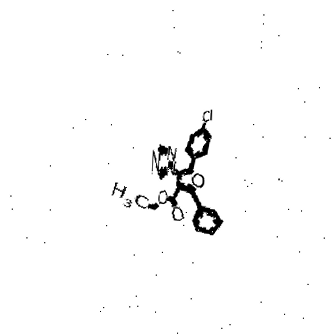 CCOC(=O)c1c(-c2ccccc2)oc(-c2ccc(Cl)cc2)c1-n1cncn1